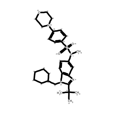 CN(c1ccc2c(c1)nc(C(C)(C)C)n2CC1CCCCC1)S(=O)(=O)c1ccc(N2CCOCC2)cc1